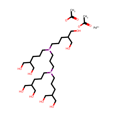 CC(=O)[O-].CC(=O)[O-].OCC(CO)CCCP(CCCC(CO)CO)CCCP(CCCC(CO)CO)CCCC(CO)CO.[Pd+2]